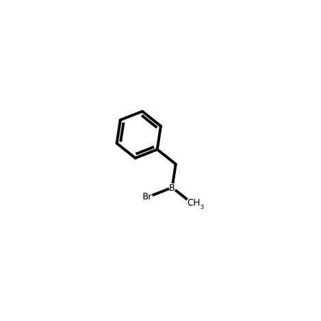 CB(Br)Cc1ccccc1